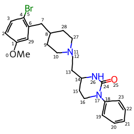 COc1ccc(Br)c(CC2CCN(CCC3CCN(c4ccccc4)C(=O)N3)CC2)c1